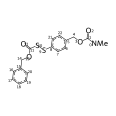 CNC(=O)OCc1ccc(SSC(=O)OCc2ccccc2)cc1